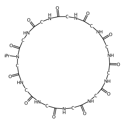 CC(C)N1CC(=O)NCC(=O)NCC(=O)NCC(=O)NCC(=O)NCC(=O)NCC(=O)NCC(=O)NCC(=O)NCC(=O)NCC1=O